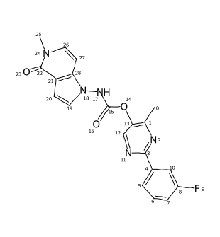 Cc1nc(-c2cccc(F)c2)ncc1OC(=O)Nn1ccc2c(=O)n(C)ccc21